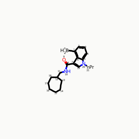 Bc1cccc2c1c(C(=O)NCC1CCCCCC1)cn2CCC